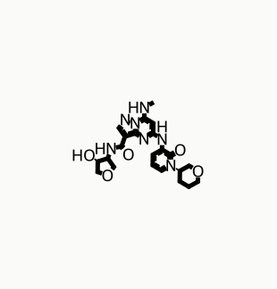 CNc1cc(Nc2cccn([C@H]3CCCOC3)c2=O)nc2c(C(=O)NC3COC[C@@H]3O)cnn12